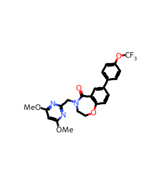 COc1cc(OC)nc(CN2CCOc3ccc(-c4ccc(OC(F)(F)F)cc4)cc3C2=O)n1